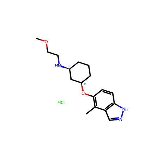 COCCN[C@H]1CCC[C@@H](Oc2ccc3[nH]ncc3c2C)C1.Cl